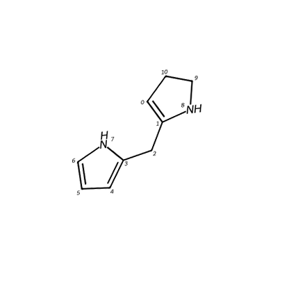 C1=C(Cc2ccc[nH]2)NCC1